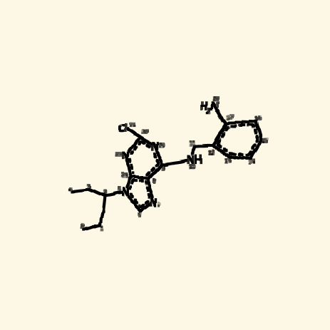 CCC(CC)n1cnc2c(NCc3ccccc3N)nc(Cl)nc21